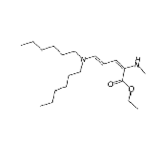 CCCCCCN(/C=C/C=C(/NC)C(=O)OCC)CCCCCC